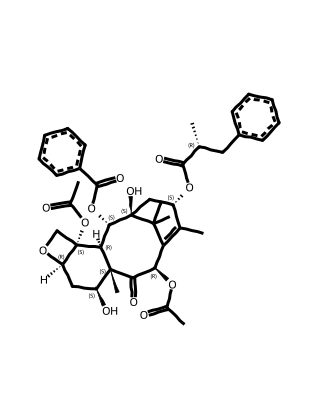 CC(=O)O[C@H]1C(=O)[C@@]2(C)[C@H]([C@H](OC(=O)c3ccccc3)[C@]3(O)C[C@H](OC(=O)[C@H](C)Cc4ccccc4)C(C)=C1C3(C)C)[C@]1(OC(C)=O)CO[C@@H]1C[C@@H]2O